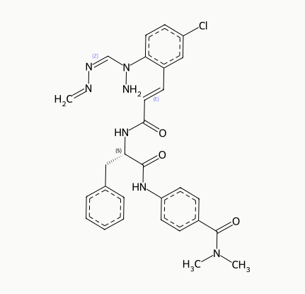 C=N/N=C\N(N)c1ccc(Cl)cc1/C=C/C(=O)N[C@@H](Cc1ccccc1)C(=O)Nc1ccc(C(=O)N(C)C)cc1